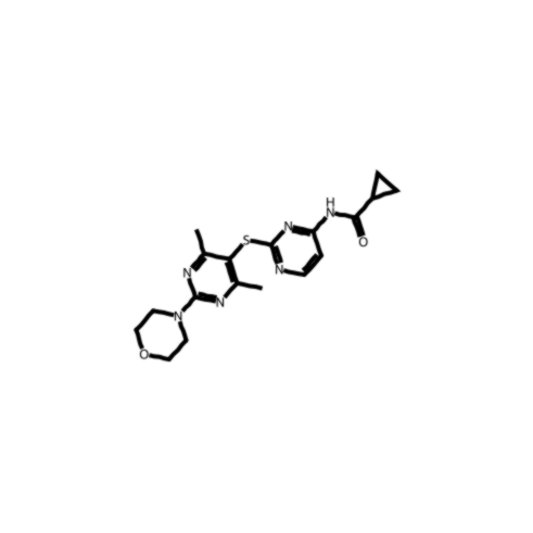 Cc1nc(N2CCOCC2)nc(C)c1Sc1nccc(NC(=O)C2CC2)n1